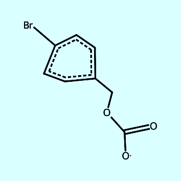 [O]C(=O)OCc1ccc(Br)cc1